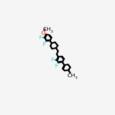 CCC1CC=C(c2ccc(CCC3CCC(c4ccc(OC)c(F)c4F)CC3)c(F)c2F)CC1